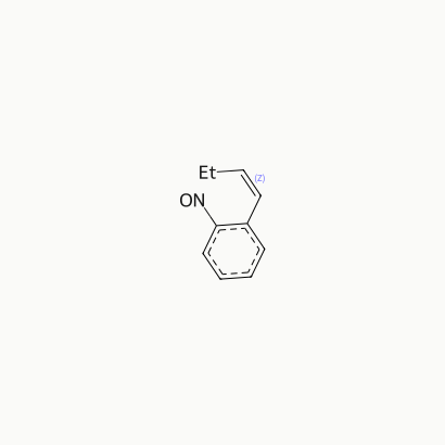 CC/C=C\c1ccccc1N=O